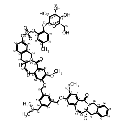 COc1cc2c(cc1OCc1cc(COc3cc4c(cc3OC)C(=O)N3Cc5cc(OS(=O)(=O)Oc6cc(C)ccc6OC6O[C@H](CO)[C@H](O)[C@H](O)[C@H]6O)ccc5C[C@H]3C=N4)cc(CN(C)C)c1)N=C[C@@H]1Cc3ccccc3CN1C2=O